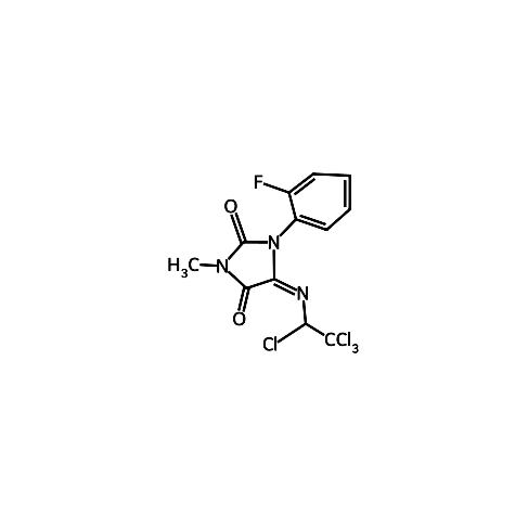 CN1C(=O)C(=NC(Cl)C(Cl)(Cl)Cl)N(c2ccccc2F)C1=O